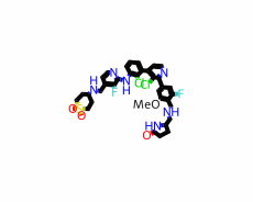 COc1cc(-c2nccc(-c3cccc(Nc4nccc(CNC5CCS(=O)(=O)CC5)c4F)c3Cl)c2Cl)cc(F)c1CNCC1CCC(=O)N1